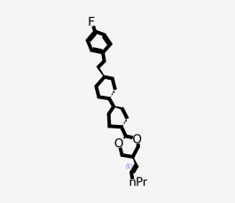 CCC/C=C/[C@H]1CO[C@H]([C@H]2CC[C@H]([C@H]3CC[C@H](CCc4ccc(F)cc4)CC3)CC2)OC1